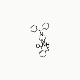 O=C(NN1CCN(C(c2ccccc2)c2ccccc2)CC1)C1=CC=CCC1=S